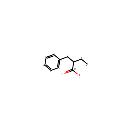 CCC(Cc1ccccc1)C([O])=O